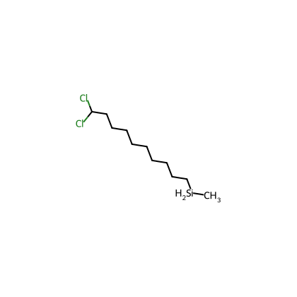 C[SiH2]CCCCCCCCCC(Cl)Cl